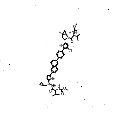 COC(=O)N[C@H](C(=O)N[C@@H](CC1CC1)c1ncc(-c2ccc3cc(-c4ccc(-c5[nH]c([C@@H]6C[C@H]7C[C@H]7N6C(=O)[C@@H](NC(=O)OC)C(C)C)nc5Cl)cc4)ccc3c2)[nH]1)C(C)C